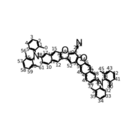 Cc1ccccc1N(c1ccc2cc3c(cc2c1)oc1c(C#N)c2oc4cc5cc(N(c6ccccc6C)c6c(C)cccc6C)ccc5cc4c2cc13)c1c(C)cccc1C